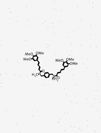 COc1cc(/C=C/C=C/C(=O)N(C)Cc2ccc(CN(C)C(=O)/C=C/C=C/c3cc(OC)c(OC)c(OC)c3)cc2)cc(OC)c1OC